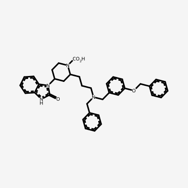 O=C(O)N1CCC(n2c(=O)[nH]c3ccccc32)CC1CCCN(Cc1ccccc1)Cc1cccc(OCc2ccccc2)c1